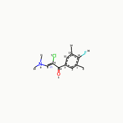 Cc1cc(C(=O)/C(Cl)=C/N(C)C)cc(C)c1F